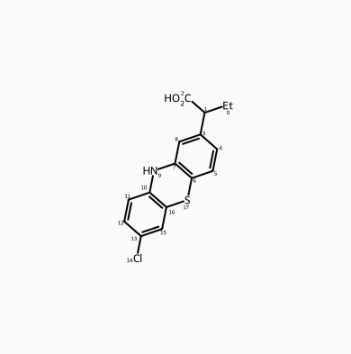 CCC(C(=O)O)c1ccc2c(c1)Nc1ccc(Cl)cc1S2